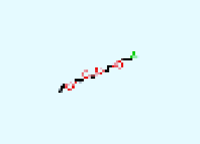 CCOCCOCOCCOCCCl